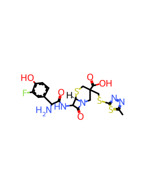 Cc1nnc(SCC2(C(=O)O)CS[C@@H]3C(NC(=O)C(N)c4ccc(O)c(F)c4)C(=O)N3C2)s1